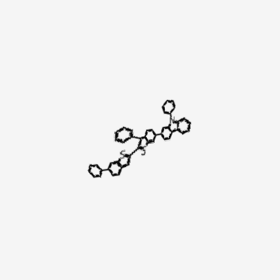 c1ccc(-c2ccc3cc(-c4sc5cc(-c6ccc7c8ccccc8n(-c8ccccc8)c7c6)ccc5c4-c4ccccc4)sc3c2)cc1